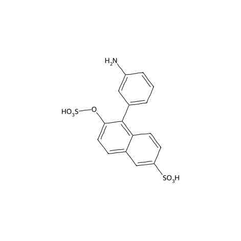 Nc1cccc(-c2c(OS(=O)(=O)O)ccc3cc(S(=O)(=O)O)ccc23)c1